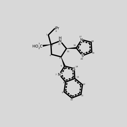 CC(C)C[C@@]1(C(=O)O)C[C@H](c2nc3ccccc3s2)[C@H](c2nccs2)N1